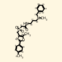 Cc1ccc(-c2nc(CS(=O)(=O)CC(=O)NCCCN(C)Cc3ccccc3)c(C)o2)cc1